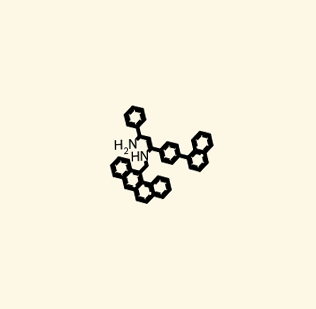 NC(/C=C(\NCc1c2ccccc2cc2ccc3ccccc3c12)c1ccc(-c2cccc3ccccc23)cc1)c1ccccc1